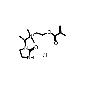 C=C(C)C(=O)OCC[N+](C)(C)C(C)N1CCNC1=O.[Cl-]